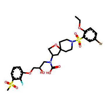 CCOc1ccc(Br)cc1S(=O)(=O)N1CCC2(CC1)CC(N(CC(O)COc1cccc(S(C)(=O)=O)c1F)C(=O)O)CO2